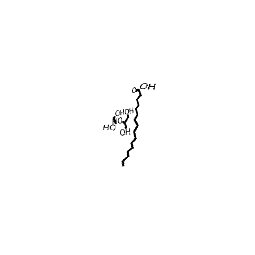 CCCCCCCCCCCCCCCC(=O)O.OCC(O)CO.OCCO